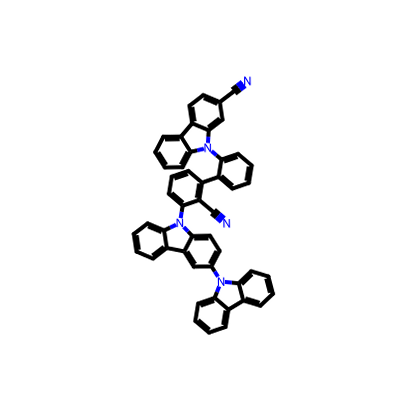 N#Cc1ccc2c3ccccc3n(-c3ccccc3-c3cccc(-n4c5ccccc5c5cc(-n6c7ccccc7c7ccccc76)ccc54)c3C#N)c2c1